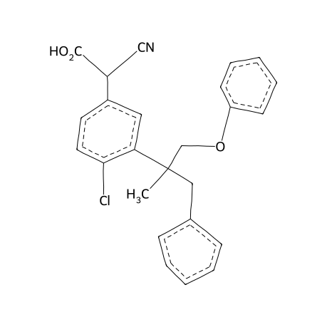 CC(COc1ccccc1)(Cc1ccccc1)c1cc(C(C#N)C(=O)O)ccc1Cl